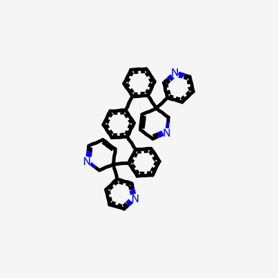 C1=CC(c2cccnc2)(c2ccccc2-c2cccc(-c3ccccc3C3(c4cccnc4)C=CC=NC3)c2)CN=C1